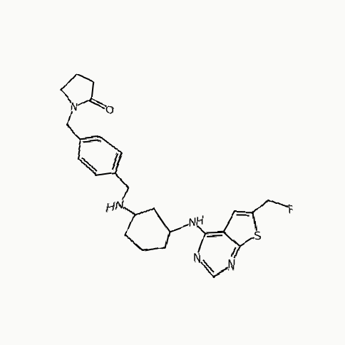 O=C1CCCN1Cc1ccc(CNC2CCCC(Nc3ncnc4sc(CF)cc34)C2)cc1